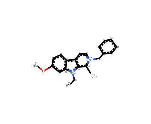 CCCCOc1ccc2c3cc[n+](Cc4ccccc4)c(C)c3n(CC(C)C)c2c1